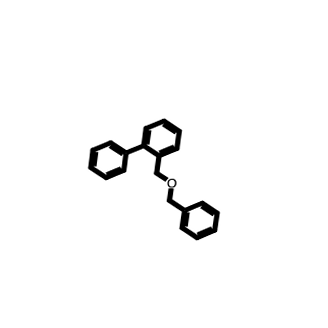 c1ccc(COCc2ccccc2-c2ccccc2)cc1